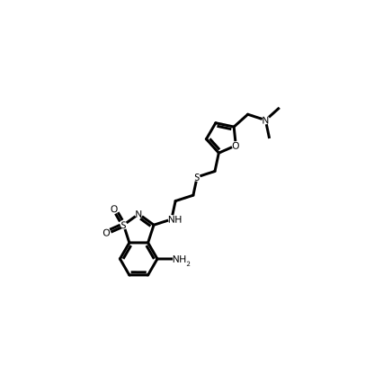 CN(C)Cc1ccc(CSCCNC2=NS(=O)(=O)c3cccc(N)c32)o1